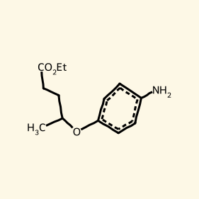 CCOC(=O)CCC(C)Oc1ccc(N)cc1